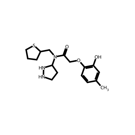 Cc1ccc(OCC(=O)N(CC2CCCS2)C2CCNN2)c(O)c1